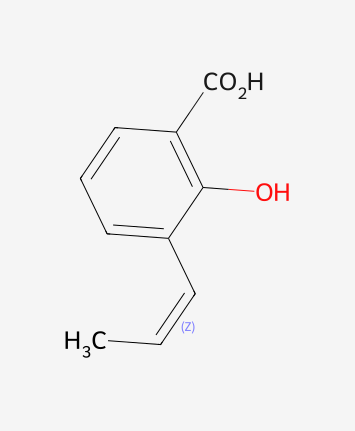 C/C=C\c1cccc(C(=O)O)c1O